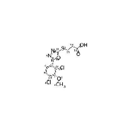 COc1c(Cl)ccc(-c2nnc(SCCC(=O)O)o2)c1Cl